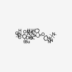 COc1c(NC(=O)N[C@@]2(C=O)C=C[C@@H](Oc3ccc4nnc(C(C)(C)N(C)C)n4c3)c3ccccc32)cc(C(C)(C)C)cc1NS(C)(=O)=O